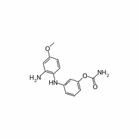 COc1ccc(Nc2cccc(OC(N)=O)c2)c(N)c1